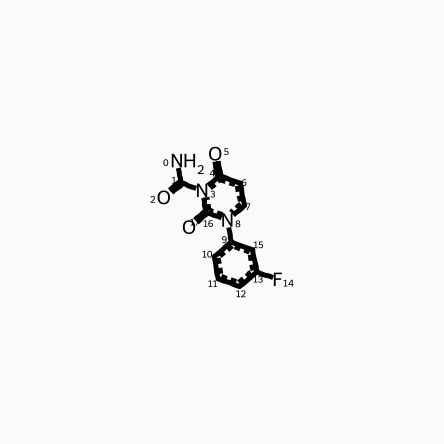 NC(=O)n1c(=O)ccn(-c2cccc(F)c2)c1=O